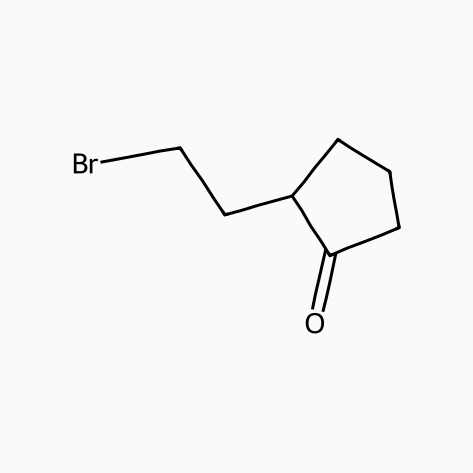 O=C1CCCC1CCBr